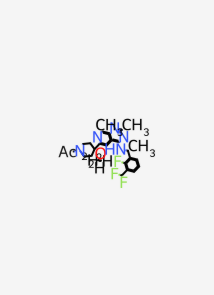 [2H]C([2H])([2H])OC1(c2cc3c(N[C@H](C)c4cccc(C(F)F)c4F)nc(C)nc3c(C)n2)CCN(C(C)=O)CC1